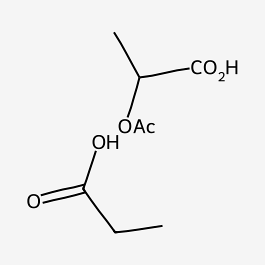 CC(=O)OC(C)C(=O)O.CCC(=O)O